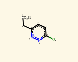 CCOC(=O)Cc1ccc(Cl)nn1